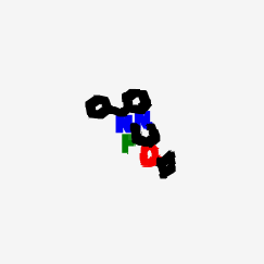 Fc1c(OC2CCC2)ccnc1N=C(c1ccccc1)c1ccccc1